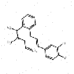 C=CCN(C)C(C#N)c1ccccc1CC=Cc1ccc(Cl)c(Cl)c1